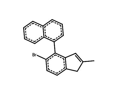 CC1=Cc2c(ccc(Br)c2-c2cccc3ccccc23)C1